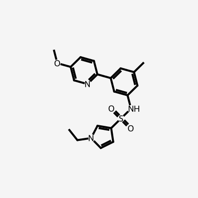 CCn1ccc(S(=O)(=O)Nc2cc(C)cc(-c3ccc(OC)cn3)c2)c1